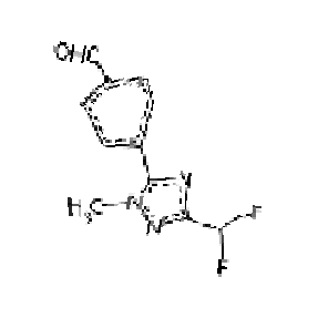 Cn1nc(C(F)F)nc1-c1ccc(C=O)cc1